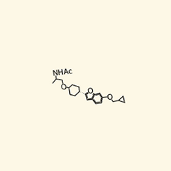 CC(=O)NC(C)CO[C@H]1CC[C@H](c2cc3ccc(OCC4CC4)cc3o2)CC1